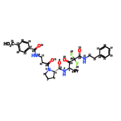 CC(C)C(NC(=O)[C@@H]1CCCN1C(=O)CCNC(=O)c1ccc(C(=O)O)cc1)C(=O)C(F)(F)C(=O)NCCc1ccccc1